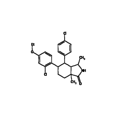 CCOc1ccc(C2CCC3(C)C(=O)NC(C)C3C2c2ccc(Cl)cc2)c(Cl)c1